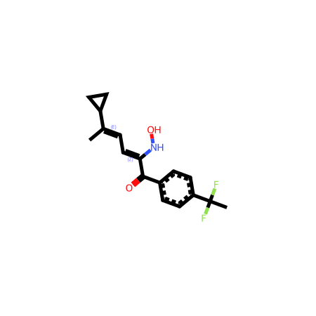 C/C(=C\C=C(/NO)C(=O)c1ccc(C(C)(F)F)cc1)C1CC1